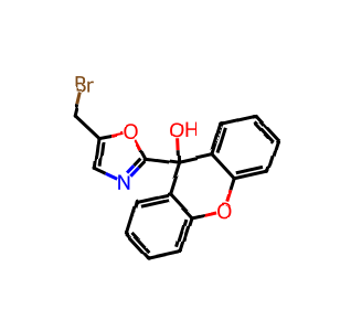 OC1(c2ncc(CBr)o2)c2ccccc2Oc2ccccc21